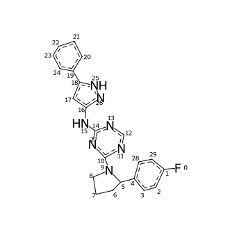 Fc1ccc(C2CCCN2c2ncnc(Nc3cc(-c4ccccc4)[nH]n3)n2)cc1